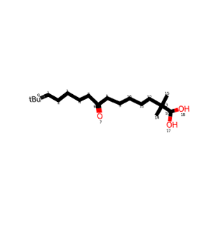 CC(C)(C)CCCCCC(=O)CCCCCC(C)(C)C(O)O